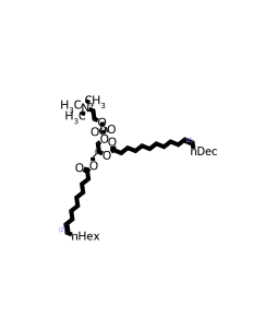 CCCCCC/C=C\CCCCCCCC(=O)OC[C@H](COP(=O)([O-])OCC[N+](C)(C)C)OC(=O)CCCCCCCCC/C=C\CCCCCCCCCC